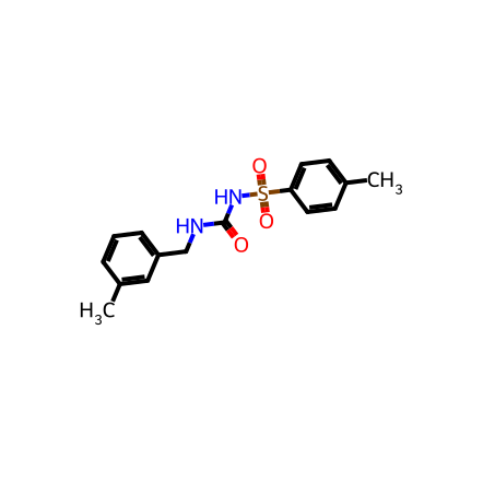 Cc1ccc(S(=O)(=O)NC(=O)NCc2cccc(C)c2)cc1